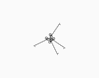 CC(C)CCCCCCCCCCCCC(=O)OCC(COC(=O)CCCCCCCCCCCCC(C)C)(COC(=O)CCCCCCCCCCCCC(C)C)COC(=O)CCCCCCCCCCCCC(C)C